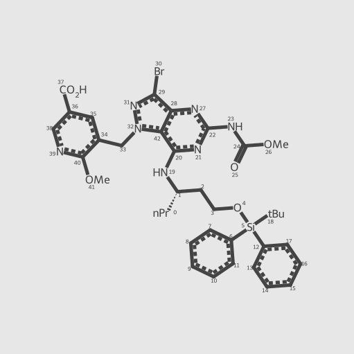 CCC[C@@H](CCO[Si](c1ccccc1)(c1ccccc1)C(C)(C)C)Nc1nc(NC(=O)OC)nc2c(Br)nn(Cc3cc(C(=O)O)cnc3OC)c12